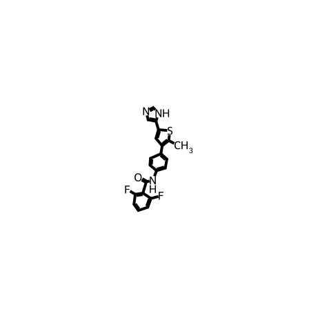 Cc1sc(-c2cnc[nH]2)cc1-c1ccc(NC(=O)c2c(F)cccc2F)cc1